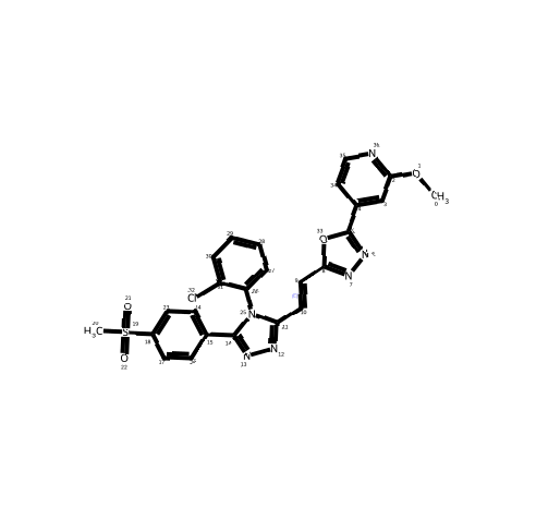 COc1cc(-c2nnc(/C=C/c3nnc(-c4ccc(S(C)(=O)=O)cc4)n3-c3ccccc3Cl)o2)ccn1